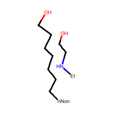 CCCCCCCCCCCCCCCCO.CCNCCO